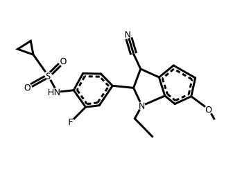 CCN1c2cc(OC)ccc2C(C#N)C1c1ccc(NS(=O)(=O)C2CC2)c(F)c1